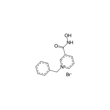 O=C(NO)c1ccc[n+](Cc2ccccc2)c1.[Br-]